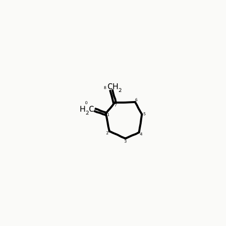 C=C1CCCCCC1=C